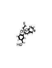 O=S(=O)(CCF)N(Cc1cncnc1)c1cccc(CO)c1